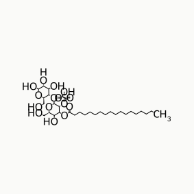 CCCCCCCCCCCCCCCCCC(=O)O[C@H]1[C@@H](O)[C@@H](CO)O[C@@H](O[C@H]2[C@H](O)[C@@H](O)[C@H](O)O[C@@H]2CO)[C@@H]1OS(=O)(=O)O